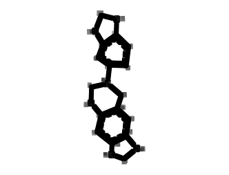 c1cc2c(cc1N1COc3cc4c(cc3C1)OCO4)OCO2